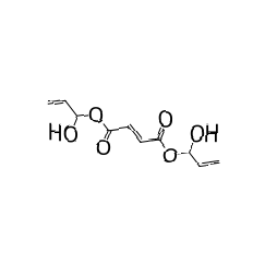 C=CC(O)OC(=O)/C=C/C(=O)OC(O)C=C